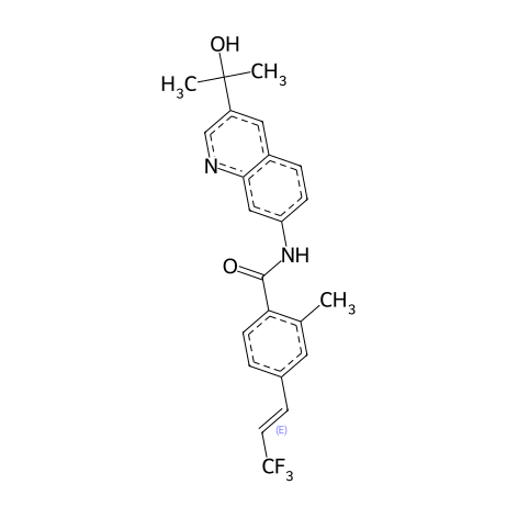 Cc1cc(/C=C/C(F)(F)F)ccc1C(=O)Nc1ccc2cc(C(C)(C)O)cnc2c1